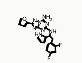 Nc1nc(NC(Cc2ccc(F)cc2F)c2ccc[nH]2)nc2nc(-c3ccco3)nn12